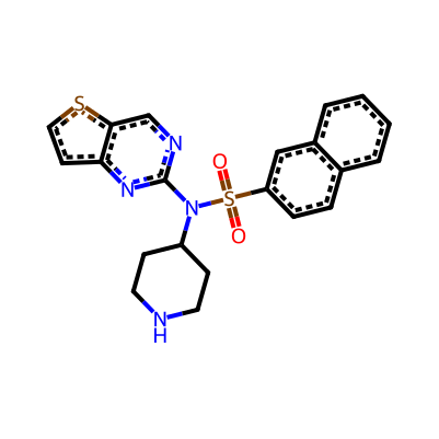 O=S(=O)(c1ccc2ccccc2c1)N(c1ncc2sccc2n1)C1CCNCC1